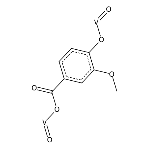 COc1cc(C(=O)[O][V]=[O])ccc1[O][V]=[O]